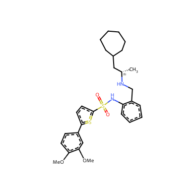 COc1ccc(-c2ccc(S(=O)(=O)Nc3ccccc3CN[C@@H](C)CC3CCCCCC3)s2)cc1OC